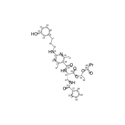 Cc1nc(NCCCc2cccc(O)c2)nc(C)c1C(=O)N[C@@H](CNC(=O)c1cccs1)C(=O)OC(C)OC(=O)C(C)C